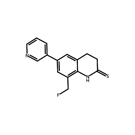 FCc1cc(-c2cccnc2)cc2c1NC(=S)CC2